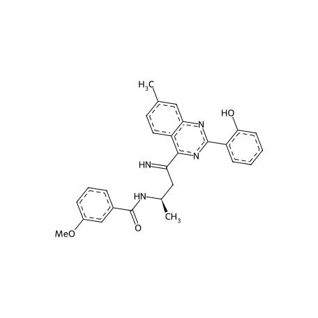 COc1cccc(C(=O)N[C@H](C)CC(=N)c2nc(-c3ccccc3O)nc3cc(C)ccc23)c1